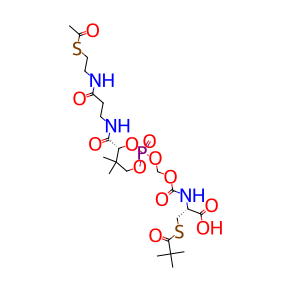 CC(=O)SCCNC(=O)CCNC(=O)[C@@H]1OP(=O)(OCOC(=O)N[C@@H](CSC(=O)C(C)(C)C)C(=O)O)OCC1(C)C